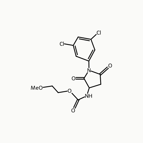 COCCOC(=O)NC1CC(=O)N(c2cc(Cl)cc(Cl)c2)C1=O